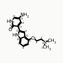 CN(C)CCOc1cccc2[nH]c(-c3cc(N)c[nH]c3=O)cc12